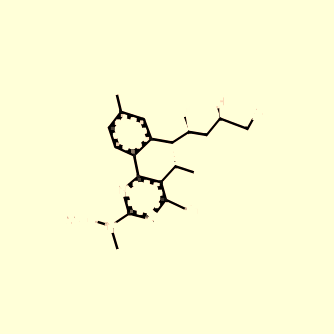 CON(C)c1nc2c(c(C(C)C)n1)C(C)[C@@H]([C@@H](O)C[C@@H](O)CC(C)=O)c1cc(F)ccc1-2